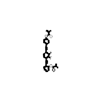 C=C(C)C(=O)Oc1ccc(C#Cc2ccc(C#Cc3ccccc3OC(=O)C(=C)C)c(F)c2F)cc1